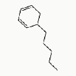 CCCCCC1C=CC=CC1